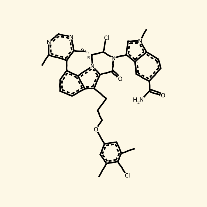 Cc1cc(OCCCc2c3n(c4c(-c5c(C)ncnc5C)cccc24)[C@H](C)C(Cl)N(c2cn(C)c4ccc(C(N)=O)cc24)C3=O)cc(C)c1Cl